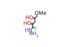 COC[C@@H](O)C[C@@H](O)[C@H](F)NN